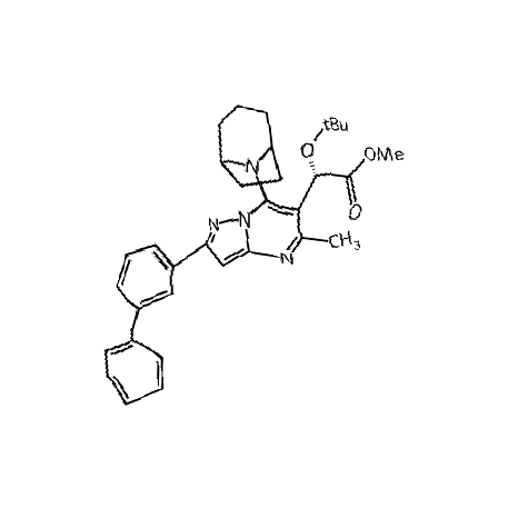 COC(=O)[C@@H](OC(C)(C)C)c1c(C)nc2cc(-c3cccc(-c4ccccc4)c3)nn2c1N1C2CCCC1CC2